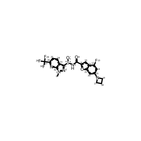 Cn1nc([S+]([O-])NC(=O)c2cc3c(F)cc(N4CCC4)cc3o2)c2ccc(C(F)(F)F)nc21